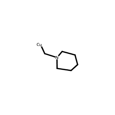 [Cu][CH2]N1CCCCC1